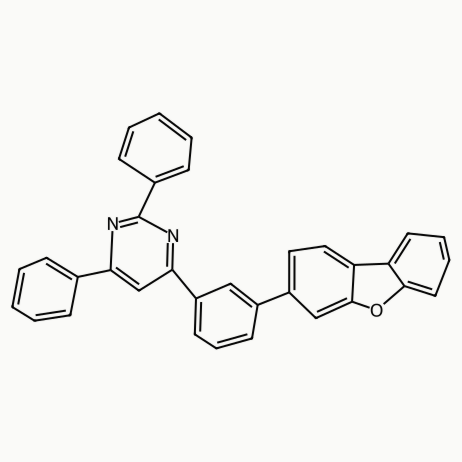 c1ccc(-c2cc(-c3cccc(-c4ccc5c(c4)oc4ccccc45)c3)nc(-c3ccccc3)n2)cc1